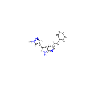 Cn1cc(C2CNc3ncc(CCC4CCCCC4)cc32)cn1